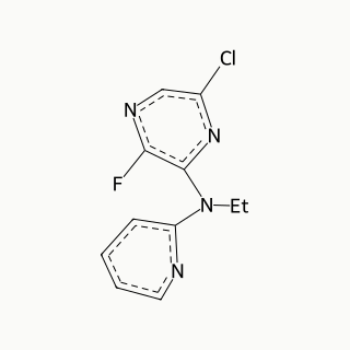 CCN(c1ccccn1)c1nc(Cl)cnc1F